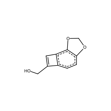 OCC1=Cc2c1ccc1c2OCO1